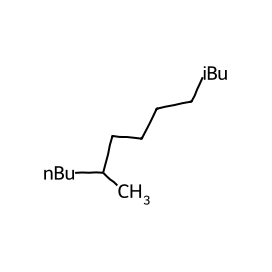 CCCCC(C)CCCCC(C)CC